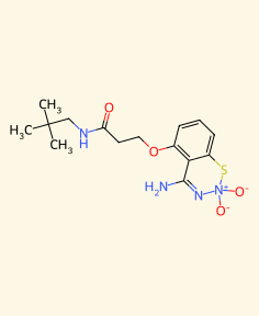 CC(C)(C)CNC(=O)CCOc1cccc2c1C(N)=N[N+]([O-])([O-])S2